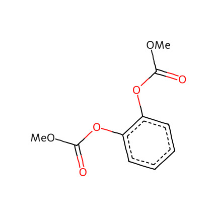 COC(=O)Oc1ccccc1OC(=O)OC